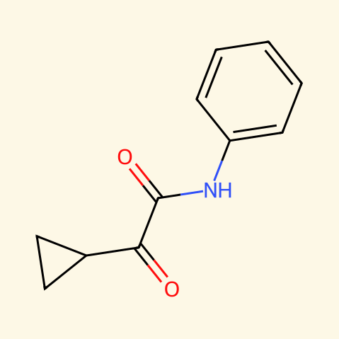 O=C(Nc1ccccc1)C(=O)C1CC1